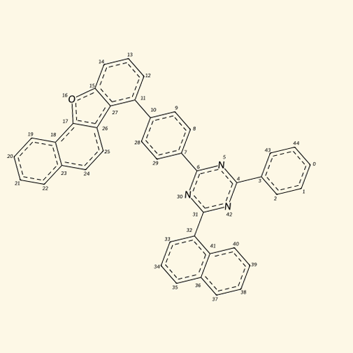 c1ccc(-c2nc(-c3ccc(-c4cccc5oc6c7ccccc7ccc6c45)cc3)nc(-c3cccc4ccccc34)n2)cc1